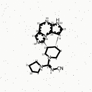 C[C@@H]1CCN(/C(=N\C#N)N2CCCC2)C[C@@H]1c1ncc2cnc3[nH]ccc3n12